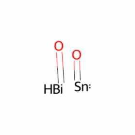 [O]=[BiH].[O]=[Sn]